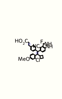 COc1ccc(/C(=C(\c2ccc(/C=C/C(=O)O)cc2)c2ccc3c(c2C#N)C(F)NN3)C2CCC2)c(Cl)c1